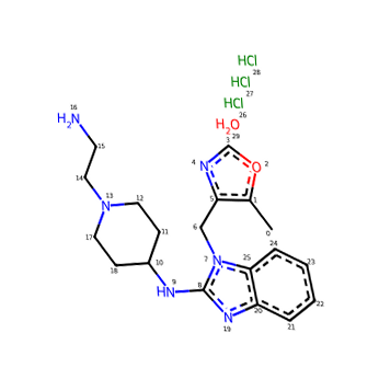 Cc1ocnc1Cn1c(NC2CCN(CCN)CC2)nc2ccccc21.Cl.Cl.Cl.O